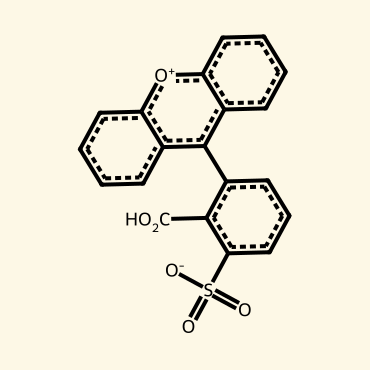 O=C(O)c1c(-c2c3ccccc3[o+]c3ccccc23)cccc1S(=O)(=O)[O-]